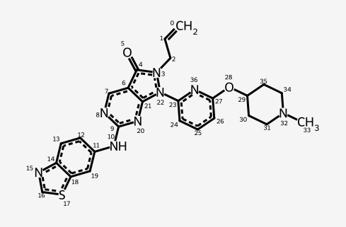 C=CCn1c(=O)c2cnc(Nc3ccc4ncsc4c3)nc2n1-c1cccc(OC2CCN(C)CC2)n1